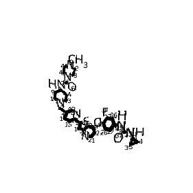 CN1CCN(C(=O)NC2CCN(Cc3ccc(-c4cc5nccc(Oc6ccc(NC(=O)NC7CC7)cc6F)c5s4)nc3)CC2)CC1